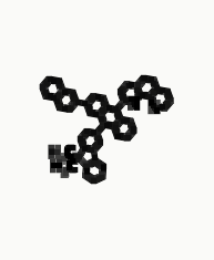 CC1(C)c2ccccc2-c2cc(-c3c4ccccc4c(-c4ccc5ccc6cccnc6c5n4)c4ccc(-c5ccc6ccccc6c5)cc34)ccc21